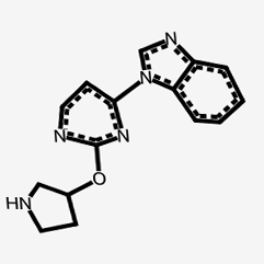 c1ccc2c(c1)ncn2-c1ccnc(OC2CCNC2)n1